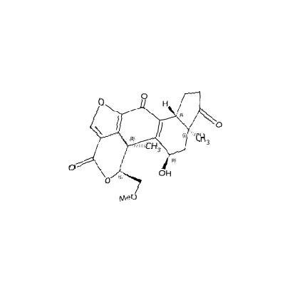 COC[C@H]1OC(=O)c2coc3c2[C@@]1(C)C1=C(C3=O)[C@@H]2CCC(=O)[C@@]2(C)C[C@H]1O